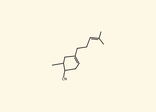 CC(C)=CCCC1=CCC(C#N)C(C)C1